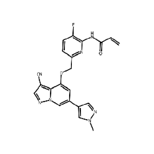 C=CC(=O)Nc1nc(COc2cc(-c3cnn(C)c3)cn3ncc(C#N)c23)ccc1F